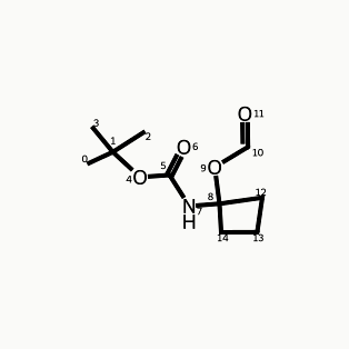 CC(C)(C)OC(=O)NC1(OC=O)CCC1